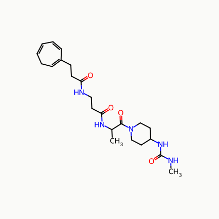 CNC(=O)NC1CCN(C(=O)C(C)NC(=O)CCNC(=O)CCC2=CCC=CC=C2)CC1